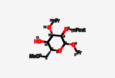 CCCCCO[C@H]1C(OC(C)C)O[C@H](COC)[C@@H](O)[C@@H]1OCCC